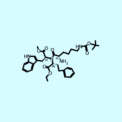 CCOC(=O)[C@@H](CCc1ccccc1)N(C(=O)[C@@H](N)CCCCNC(=O)OC(C)(C)C)[C@@H](Cc1c[nH]c2ccccc12)C(=O)OC